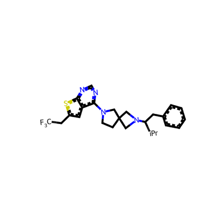 CC(C)C(Cc1ccccc1)N1CC2(CCN(c3ncnc4sc(CC(F)(F)F)cc34)C2)C1